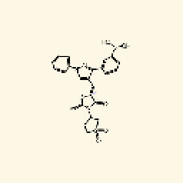 O=C1/C(=C/c2cn(-c3ccccc3)nc2-c2cccc(N(O)O)c2)SC(=S)N1C1CCS(=O)(=O)C1